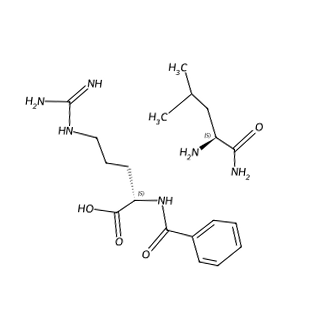 CC(C)C[C@H](N)C(N)=O.N=C(N)NCCC[C@H](NC(=O)c1ccccc1)C(=O)O